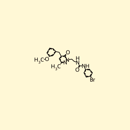 COc1cccc(Cc2cc(C)nn(CCNC(=O)Nc3ccc(Br)cc3)c2=O)c1